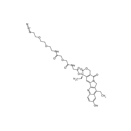 CCc1c2c(nc3ccc(O)cc13)-c1cc3c(c(=O)n1C2)COC(=O)[C@@]3(CC)OC(=O)CNC(=O)COCC(=O)NCCOCCOCCN=[N+]=[N-]